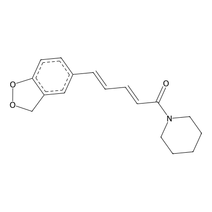 O=C(C=CC=Cc1ccc2c(c1)COO2)N1CCCCC1